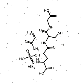 C=CC(N)=O.NC(CCC(=O)NC(CS)C(=O)NCC(=O)O)C(=O)O.O=S(=O)(O)O.[AlH3].[Fe]